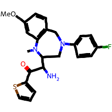 COc1ccc2c(c1)N(C)C(C(N)C(=O)c1cccs1)CN(c1ccc(F)cc1)C2